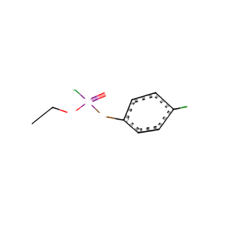 CCOP(=O)(Cl)Sc1ccc(Cl)cc1